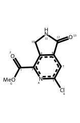 COC(=O)c1nc(Cl)cc2c1CNC2=O